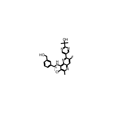 Cc1nc2cc(F)c(-c3cnc(C(C)(C)O)nc3)nc2c(N[C@H](C)c2cccc(CO)c2)c1Cl